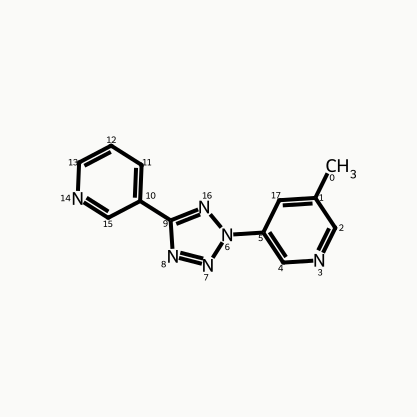 Cc1cncc(-n2nnc(-c3cccnc3)n2)c1